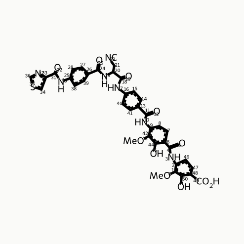 COc1c(NC(=O)c2ccc(NC(=O)c3ccc(NC(=O)C(CC#N)NC(=O)c4ccc(NC(=O)c5cscn5)cc4)cc3)c(OC)c2O)ccc(C(=O)O)c1O